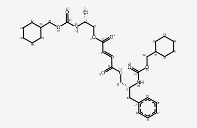 CC[C@H](COC(=O)/C=C/C(=O)OC[C@@H](Cc1ccccc1)NC(=O)OCC1CCCCC1)NC(=O)OCC1CCCCC1